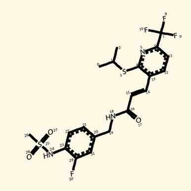 CC(C)Sc1nc(C(F)(F)F)ccc1C=CC(=O)NCc1ccc(NS(C)(=O)=O)c(F)c1